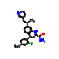 COc1ccc(-c2cc(C(N)=O)nc3cc(C(C)Cc4cccnc4)ccc23)c(F)c1